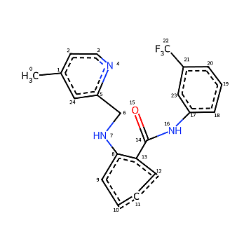 Cc1ccnc(CNc2ccccc2C(=O)Nc2cccc(C(F)(F)F)c2)c1